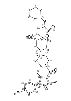 CCCCC1CN(CC2CCCCC2)C(=O)OC12CCN(C1(C)CCN(C(=O)c3c(C)nn(-c4ccc(F)cc4)c3C)CC1)CC2